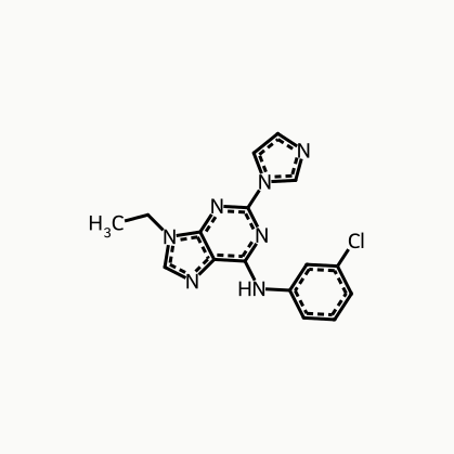 CCn1cnc2c(Nc3cccc(Cl)c3)nc(-n3ccnc3)nc21